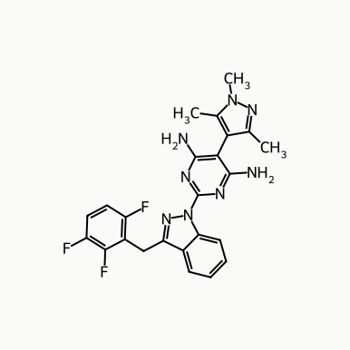 Cc1nn(C)c(C)c1-c1c(N)nc(-n2nc(Cc3c(F)ccc(F)c3F)c3ccccc32)nc1N